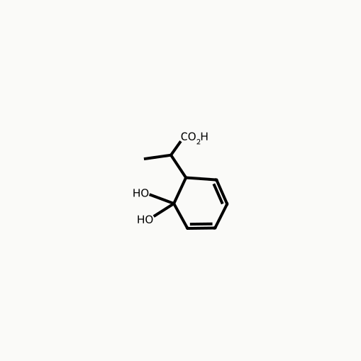 CC(C(=O)O)C1C=CC=CC1(O)O